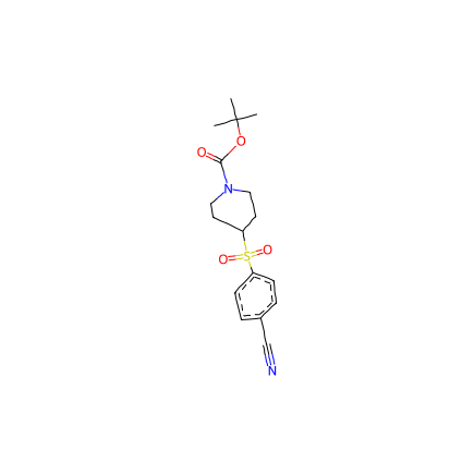 CC(C)(C)OC(=O)N1CCC(S(=O)(=O)c2ccc(C#N)cc2)CC1